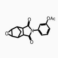 CC(=O)Oc1cccc(N2C(=O)C3C4CC(C5OC45)C3C2=O)c1